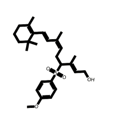 COc1ccc(S(=O)(=O)C(CC=C(C)C=CC2=C(C)CCCC2(C)C)C(C)=CCO)cc1